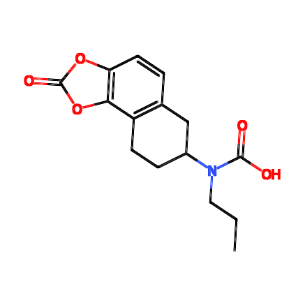 CCCN(C(=O)O)C1CCc2c(ccc3oc(=O)oc23)C1